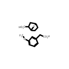 O=C(O)C1CC2CCC1CC2.O=C(O)Cc1cccc(OC(F)(F)F)c1